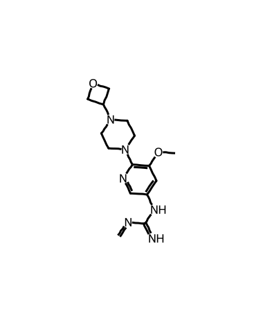 C=NC(=N)Nc1cnc(N2CCN(C3COC3)CC2)c(OC)c1